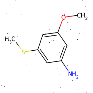 COc1cc(N)cc(SC)c1